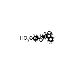 N#Cc1sc(NC(=O)C23CCC(C(=O)O)(CC2)CC3)nc1-c1ccccc1F